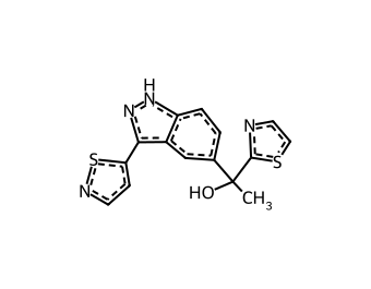 CC(O)(c1ccc2[nH]nc(-c3ccns3)c2c1)c1nccs1